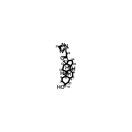 C[C@]1(O)CC[C@H]2C(CC[C@@H]3[C@@H]2CC[C@]2(C)[C@@H](C(=O)Cn4ncnn4)CC[C@@H]32)C1